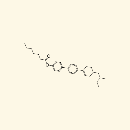 CCCCCCC(=O)Oc1ccc(-c2ccc(C3=CCC(CC(C)CC)CC3)cc2)cc1